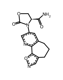 NC(=O)[C@@H]1COC(=O)N1c1cnc2c(c1)CCCc1cnoc1-2